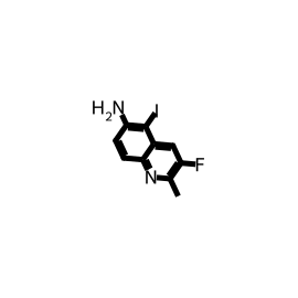 Cc1nc2ccc(N)c(I)c2cc1F